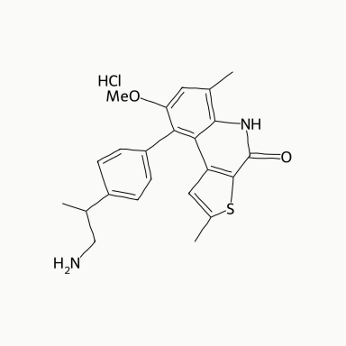 COc1cc(C)c2[nH]c(=O)c3sc(C)cc3c2c1-c1ccc(C(C)CN)cc1.Cl